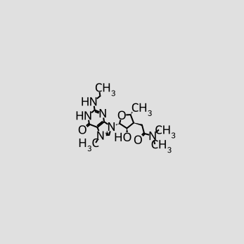 CCNc1nc2c(c(=O)[nH]1)[n+](C)cn2[C@@H]1O[C@H](C)[C@@H](CC(=O)N(C)C)[C@H]1O